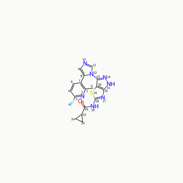 Cc1nc(F)ccc1-c1cncn1-c1n[nH]c2nc(NC(=O)C3CC3)sc12